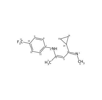 C/N=C(\C=C(\C)Nc1ccc(C(F)(F)F)cc1)C1CC1